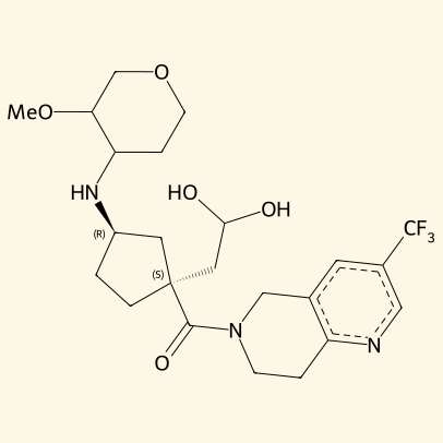 COC1COCCC1N[C@@H]1CC[C@](CC(O)O)(C(=O)N2CCc3ncc(C(F)(F)F)cc3C2)C1